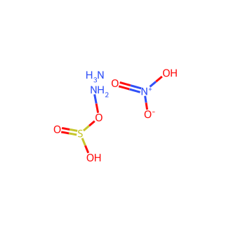 N.NOS(=O)O.O=[N+]([O-])O